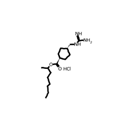 CCCCCCC(C)OC(=O)[C@H]1CC[C@H](CNC(=N)N)CC1.Cl